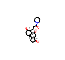 C[C@]1(CCC(=O)N2CCCCC2)C(=O)CC[C@@H]2[C@@H]1C(=O)C[C@]1(C)C(=O)CC[C@@H]21